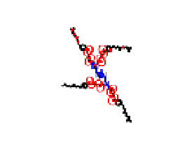 CC(C)=CCC/C(C)=C/CCC1=CCC(C(=O)OCCOC(=O)CCN(CCCN2CCN(CCCN(CCC(=O)OCCOC(=O)C3CC=C(CC/C=C(\C)CCC=C(C)C)CC3)CCC(=O)OCCOC(=O)C3CC=C(CC/C=C(\C)CCC=C(C)C)CC3)CC2)CCC(=O)OCCOC(=O)C2CC=C(CC/C=C(\C)CCC=C(C)C)CC2)CC1